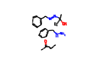 CCC(C)(O)N=NCc1ccccc1.CCC(C)=O.NNCc1ccccc1